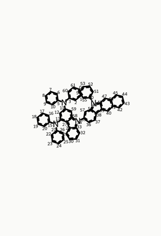 c1ccc(N(c2ccccc2)c2cc(N(c3ccccc3)c3ccccc3)c3c4ccccc4n(-c4ccc5c6cc7ccccc7cc6n(-c6ccccc6)c5c4)c3c2)cc1